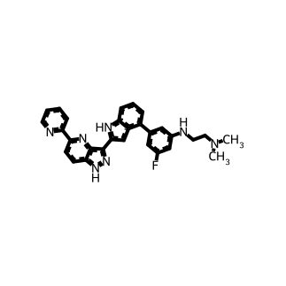 CN(C)CCNc1cc(F)cc(-c2cccc3[nH]c(-c4n[nH]c5ccc(-c6ccccn6)nc45)cc23)c1